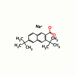 CC(C)(C)c1ccc2cc(C(=O)[O-])c(C(C)(C)C)cc2c1.[Na+]